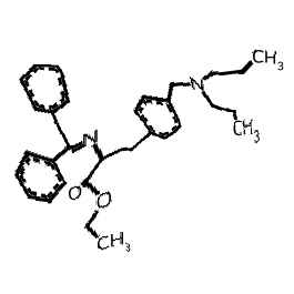 CCCN(CCC)Cc1ccc(CC(N=C(c2ccccc2)c2ccccc2)C(=O)OCC)cc1